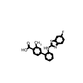 Cc1cc(-c2ccccc2Nc2nc3ccc(F)cc3s2)ccc1C(=O)O